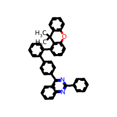 CC1(C)c2ccccc2Oc2cccc(-c3ccccc3-c3ccc(-c4nc(-c5ccccc5)nc5ccccc45)cc3)c21